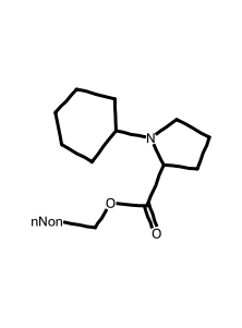 CCCCCCCCCCOC(=O)C1CCCN1C1CCCCC1